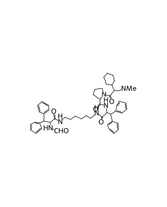 CNCC(C(=O)N1CCCC1C(=O)NC(C(=O)NCCCCCCNC(=O)C(NC=O)C(c1ccccc1)c1ccccc1)C(c1ccccc1)c1ccccc1)C1CCCCC1